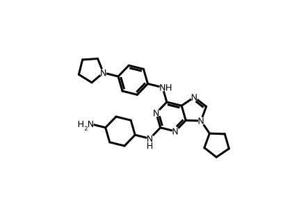 NC1CCC(Nc2nc(Nc3ccc(N4CCCC4)cc3)c3ncn(C4CCCC4)c3n2)CC1